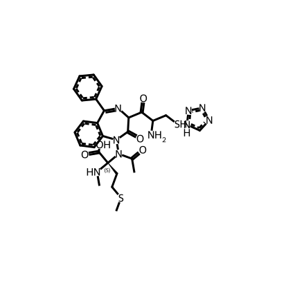 CN[C@](CCSC)(C(=O)O)N(C(C)=O)N1C(=O)C(C(=O)C(N)CS)N=C(c2ccccc2)c2ccccc21.c1nnn[nH]1